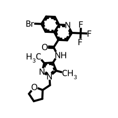 Cc1nn(CC2CCCO2)c(C)c1NC(=O)c1cc(C(F)(F)F)nc2ccc(Br)cc12